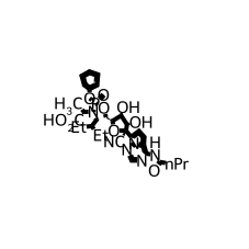 CCCC(=O)Nc1ncnn2c([C@]3(C#N)O[C@H](COP(=O)(Oc4ccccc4)N(CC(CC)CC)[C@@H](C)C(=O)O)[C@@H](O)[C@H]3O)ccc12